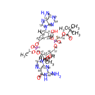 CCOP1(=O)OCC23C[C@@H]2[C@@H](n2cnc4c(N)ncnc42)[C@H](O)[C@@H]3OP(=O)(SCOC(=O)C(C)(C)C)OC[C@H]2O[C@@H](n3cnc4c(=O)[nH]c(N)nc43)[C@H](O1)[C@@H]2OC